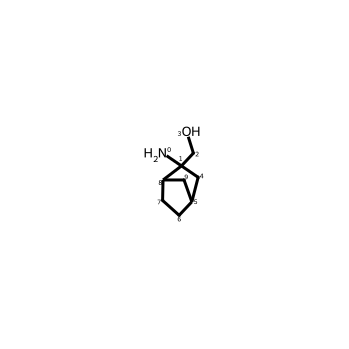 NC1(CO)CC2CCC1C2